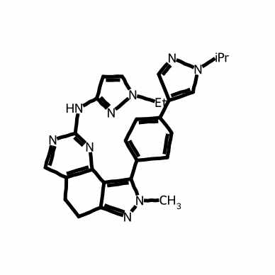 CCn1ccc(Nc2ncc3c(n2)-c2c(nn(C)c2-c2ccc(-c4cnn(C(C)C)c4)cc2)CC3)n1